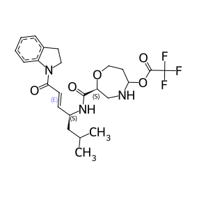 CC(C)C[C@@H](/C=C/C(=O)N1CCc2ccccc21)NC(=O)[C@@H]1CNC(OC(=O)C(F)(F)F)CCO1